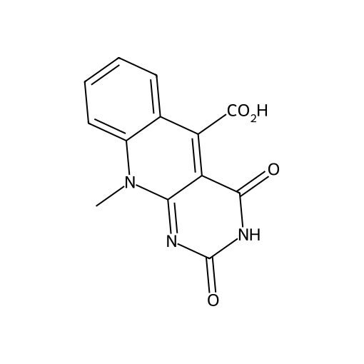 Cn1c2nc(=O)[nH]c(=O)c-2c(C(=O)O)c2ccccc21